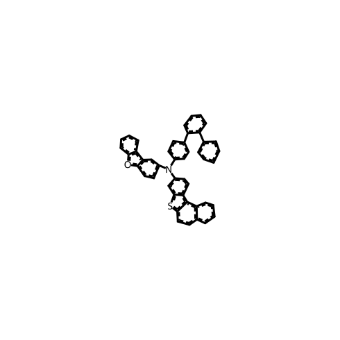 c1ccc(-c2ccccc2-c2ccc(N(c3ccc4c(c3)sc3ccc5ccccc5c34)c3ccc4oc5ccccc5c4c3)cc2)cc1